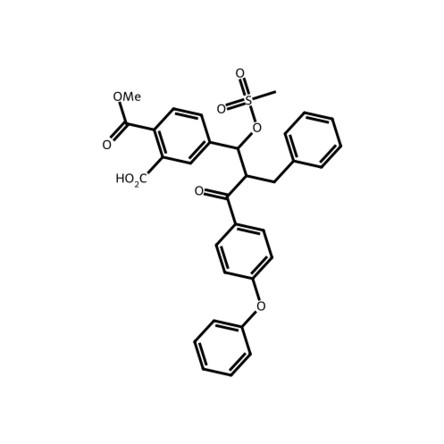 COC(=O)c1ccc(C(OS(C)(=O)=O)C(Cc2ccccc2)C(=O)c2ccc(Oc3ccccc3)cc2)cc1C(=O)O